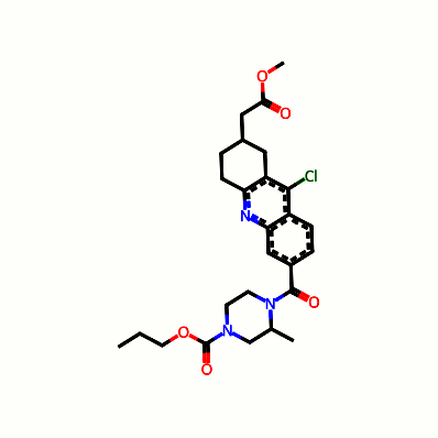 CCCOC(=O)N1CCN(C(=O)c2ccc3c(Cl)c4c(nc3c2)CCC(CC(=O)OC)C4)C(C)C1